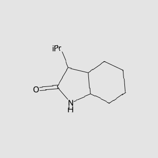 CC(C)C1C(=O)NC2CCCCC21